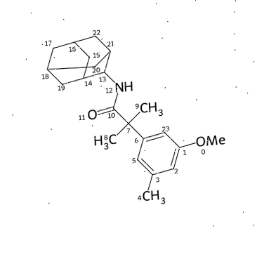 COc1cc(C)cc(C(C)(C)C(=O)NC2C3CC4CC(C3)CC2C4)c1